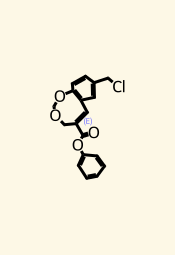 O=C(Oc1ccccc1)/C1=C/c2cc(CCl)ccc2OCOC1